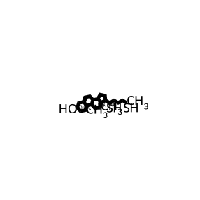 CC(S)CCC[C@@H](S)C1CCC2C3CC=C4C[C@@H](O)CC[C@]4(C)C3CC[C@@]21C